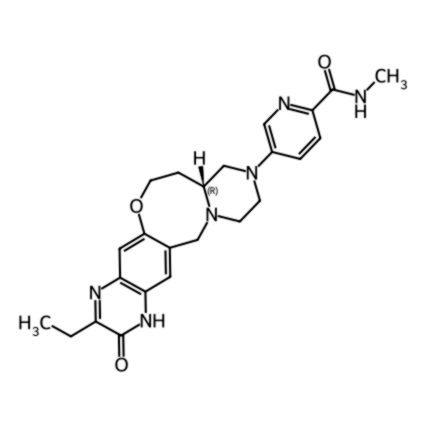 CCc1nc2cc3c(cc2[nH]c1=O)CN1CCN(c2ccc(C(=O)NC)nc2)C[C@H]1CCO3